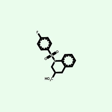 O=C(O)C1Cc2ccccc2N(S(=O)(=O)c2ccc(F)cc2)C1